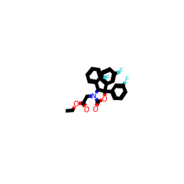 CCOC(=O)CN1C(=O)OC(c2cccc(F)c2)(c2cccc(F)c2)C1c1ccccc1F